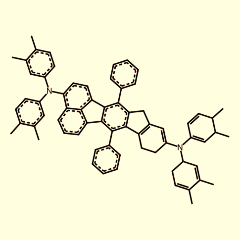 CC1=CCC(N(C2=CC(C)C(C)C=C2)C2=CC3=C(CC2)c2c(c(-c4ccccc4)c4c(c2-c2ccccc2)-c2cccc5c(N(c6ccc(C)c(C)c6)c6ccc(C)c(C)c6)ccc-4c25)C3)C=C1C